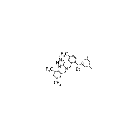 CCC(c1ccc(C(F)(F)F)cc1CN(Cc1cc(C(F)(F)F)cc(C(F)(F)F)c1)c1nnn(C)n1)N1CC(C)CC(C)C1